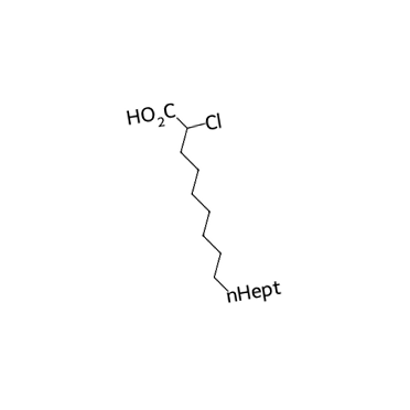 CCCCCCCCCCCCCCC(Cl)C(=O)O